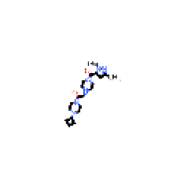 CC1=NN(C(C)(C)C)C(C(=O)N2CCN(CC(=O)N3CCN(C4CCC4)CC3)CC2)C1